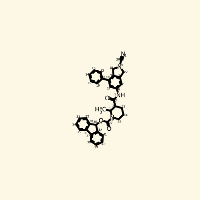 CC1C(C(=O)Nc2cc3c(c(-c4ccccc4)c2)CN(C#N)C3)CCCN1C(=O)OC1c2ccccc2-c2ccccc21